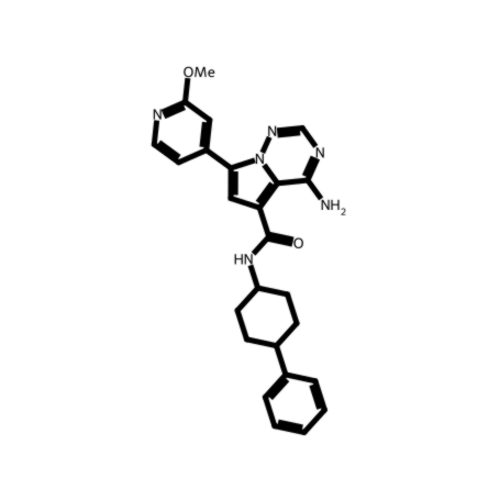 COc1cc(-c2cc(C(=O)NC3CCC(c4ccccc4)CC3)c3c(N)ncnn23)ccn1